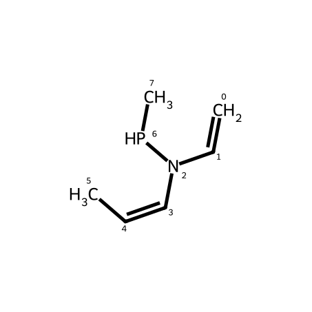 C=CN(/C=C\C)PC